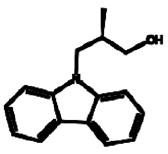 C[C@@H](CO)Cn1c2ccccc2c2ccccc21